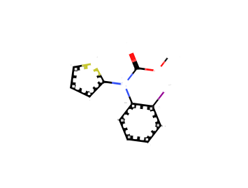 CC(C)(C)OC(=O)N(c1cccs1)c1ccccc1I